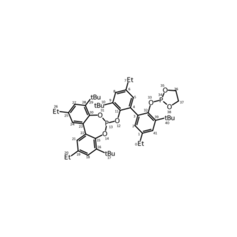 CCc1cc(-c2cc(CC)cc(C(C)(C)C)c2Op2oc3c(C(C)(C)C)cc(CC)cc3c3cc(CC)cc(C(C)(C)C)c3o2)c(OP2OCCO2)c(C(C)(C)C)c1